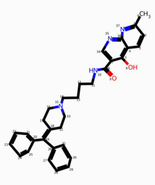 Cc1ccc2c(O)c(C(=O)NCCCCN3CCC(=C(c4ccccc4)c4ccccc4)CC3)cnc2n1